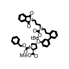 COC(=O)[C@@H]1C[C@H](Oc2cccc(-c3ccccc3CCN(CCCN3C(=O)c4ccccc4C3=O)C(=O)OC(C)(C)C)c2)CN1C(=O)OCc1ccccc1